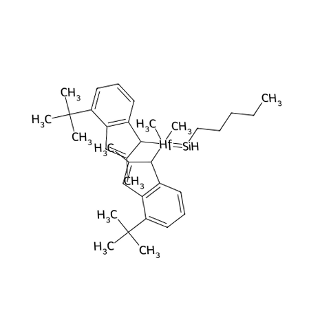 CCCCC[SiH]=[Hf]([CH3])([CH3])([CH]1C(C)=Cc2c1cccc2C(C)(C)C)[CH]1C(C)=Cc2c1cccc2C(C)(C)C